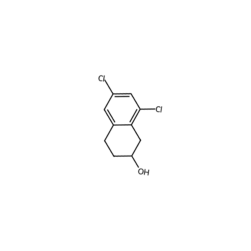 OC1CCc2cc(Cl)cc(Cl)c2C1